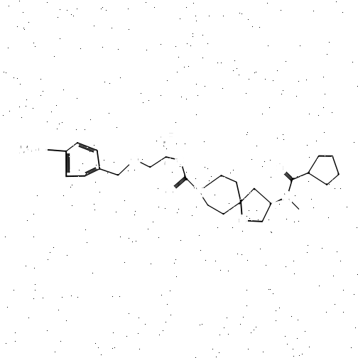 COc1ccc(COC[C@@H](OC(=O)N2CCC3(CC2)C[C@@H](N(C)C(=O)C2CCCC2)CO3)C(F)(F)F)cc1